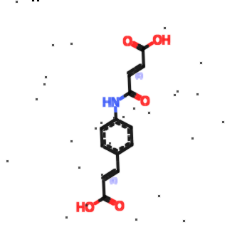 O=C(O)/C=C/C(=O)Nc1ccc(/C=C/C(=O)O)cc1